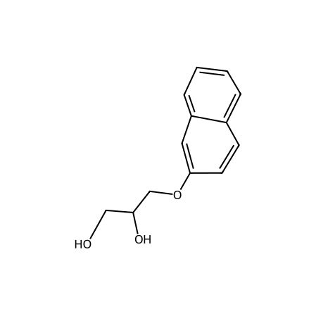 OCC(O)COc1ccc2ccccc2c1